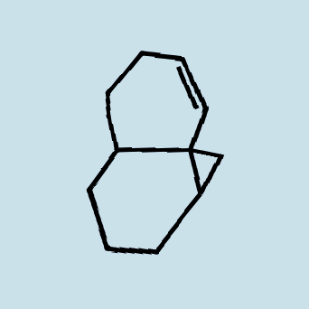 C1=CC23CC2CCCC3CC1